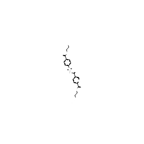 COCCNC(=O)c1ccc(S(=O)(=O)NC(=O)c2ccc(C(=O)NCCOC)nc2)cc1